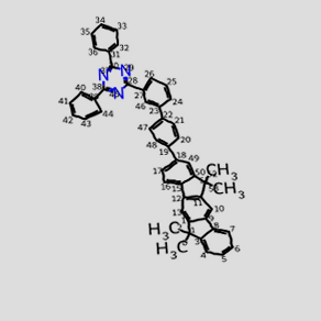 CC1(C)c2ccccc2-c2cc3c(cc21)-c1ccc(-c2ccc(-c4cccc(-c5nc(-c6ccccc6)nc(-c6ccccc6)n5)c4)cc2)cc1C3(C)C